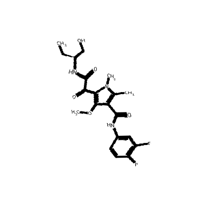 CC[C@@H](CO)NC(=O)C(=O)c1c(OC)c(C(=O)Nc2ccc(F)c(F)c2)c(C)n1C